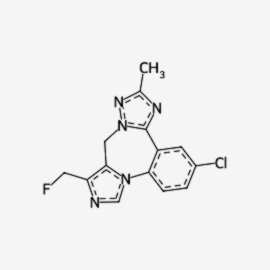 Cc1nc2n(n1)Cc1c(CF)ncn1-c1ccc(Cl)cc1-2